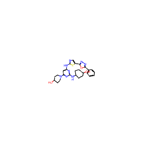 OC1CCC(Nc2nc(Nc3ncc(-c4nnc(-c5ccccc5)o4)s3)cc(N3CCC(O)CC3)n2)CC1